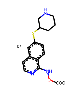 O=C([O-])ONc1nccc2cc(SC3CCCNC3)ccc12.[K+]